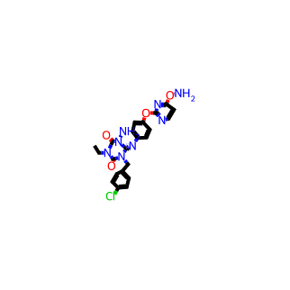 CCn1c(=O)n(N)/c(=N\c2ccc(Oc3nccc(ON)n3)cc2)n(Cc2ccc(Cl)cc2)c1=O